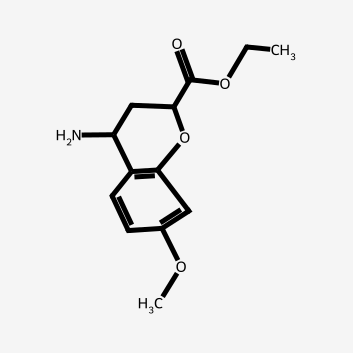 CCOC(=O)C1CC(N)c2ccc(OC)cc2O1